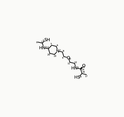 CC(S)NC1CCN(CCOCCNC(=O)C(C)S)CC1